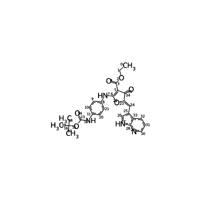 CCOC(=O)C1=C(Nc2ccc(NC(=O)OC(C)(C)C)cc2)OC(=Cc2c[nH]c3ncccc23)C1=O